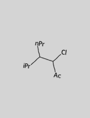 CCCC(C(C)C)C(Cl)C(C)=O